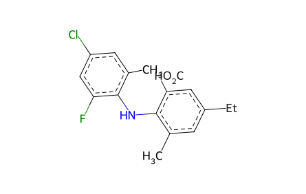 CCc1cc(C)c(Nc2c(C)cc(Cl)cc2F)c(C(=O)O)c1